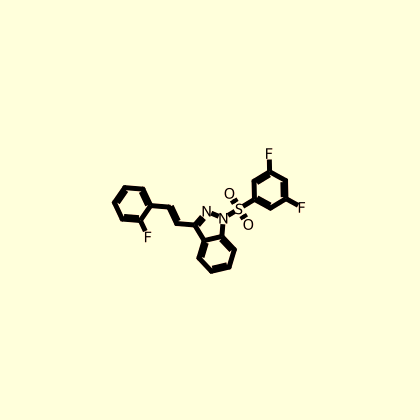 O=S(=O)(c1cc(F)cc(F)c1)n1nc(C=Cc2ccccc2F)c2ccccc21